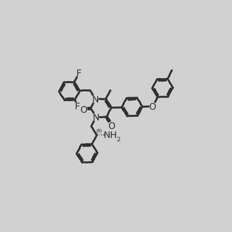 Cc1ccc(Oc2ccc(-c3c(C)n(Cc4c(F)cccc4F)c(=O)n(C[C@H](N)c4ccccc4)c3=O)cc2)cc1